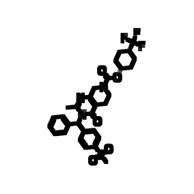 Cc1nc2c(c(=O)n1C(c1ccccc1)c1ccc(S(C)(=O)=O)cc1)CCN(C(=O)O[C@H]1CC[C@H](C(F)(F)F)CC1)C2